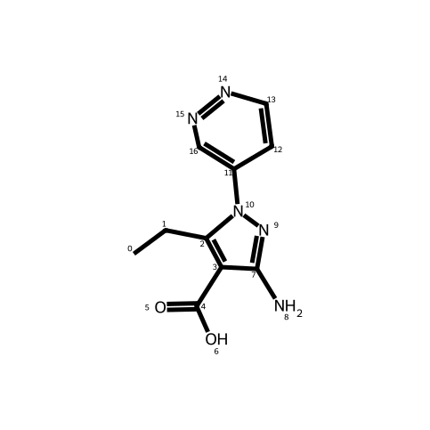 CCc1c(C(=O)O)c(N)nn1-c1ccnnc1